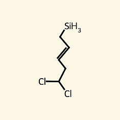 [SiH3]CC=CCC(Cl)Cl